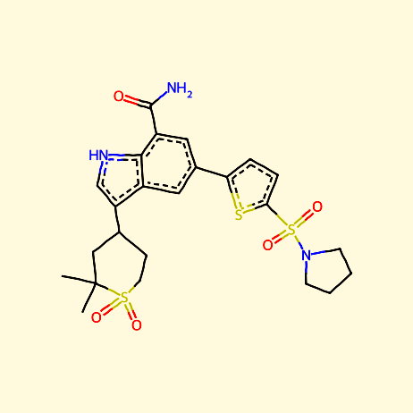 CC1(C)CC(c2c[nH]c3c(C(N)=O)cc(-c4ccc(S(=O)(=O)N5CCCC5)s4)cc23)CCS1(=O)=O